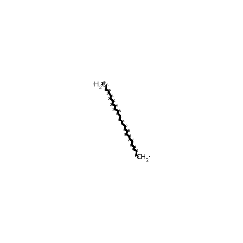 [CH2]CCCCC=CCCCCCCCCCCCCCCCCCCCCCC[CH2]